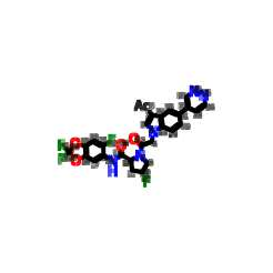 CC(=O)c1cn(CC(=O)N2C[C@H](F)C[C@H]2C(=O)Nc2cc3c(cc2F)OC(F)(F)O3)c2ccc(-c3ccnnc3)cc12